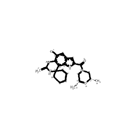 C=C1Nc2c(Cl)cc3cc(C(=O)N4C[C@@H](C)O[C@@H](C)C4)oc3c2C2(CCCCC2)N1